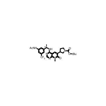 CC(=O)Nc1cc([C@@H](C)Nc2ncnc3c2cc(C2CCN(C(=O)OC(C)(C)C)C2)c(=O)n3C)cc(C(F)(F)F)c1